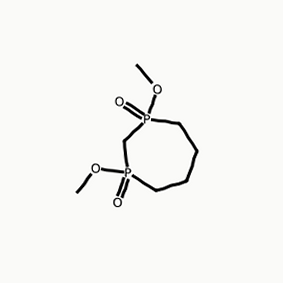 COP1(=O)CCCCP(=O)(OC)C1